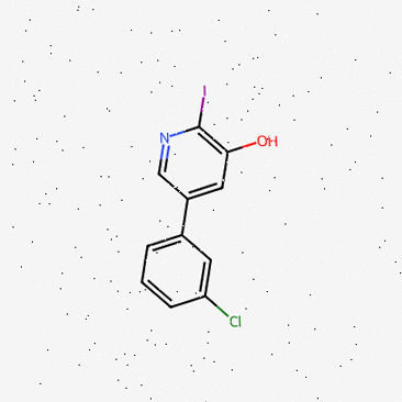 Oc1cc(-c2cccc(Cl)c2)cnc1I